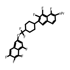 CCCc1ccc2cc(C3CCC(C(F)(F)Oc4cc(F)c5c(F)c(F)c(F)cc5c4)CC3)c(F)c(F)c2c1F